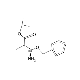 C[C](C(=O)OC(C)(C)C)[C@H](N)OCc1ccccc1